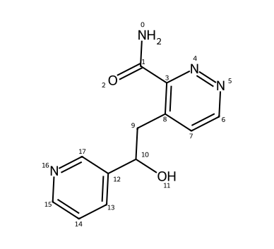 NC(=O)c1nnccc1CC(O)c1cccnc1